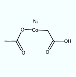 CC(=O)[O][Co][CH2]C(=O)O.[Ni]